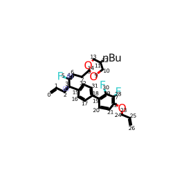 C=C/C=C(\C(F)=C/CC1OCC(CCCC)CO1)c1ccc(-c2ccc(OCC=C)c(F)c2F)cc1